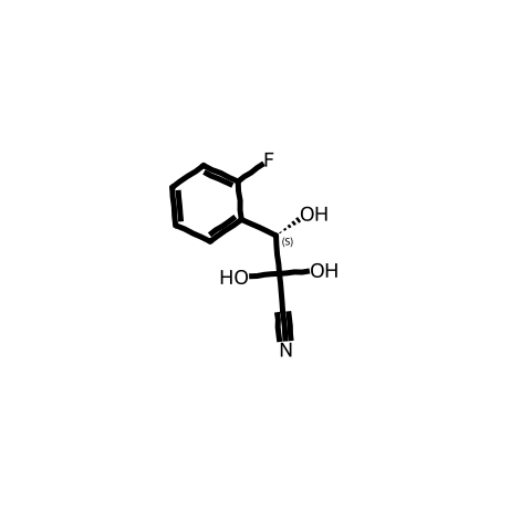 N#CC(O)(O)[C@@H](O)c1ccccc1F